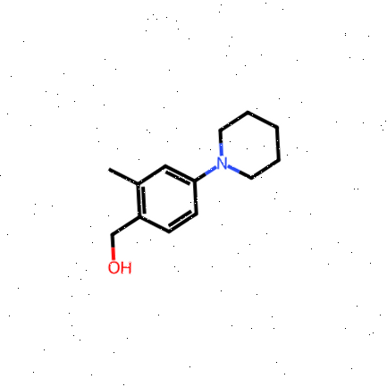 Cc1cc(N2CCCCC2)ccc1CO